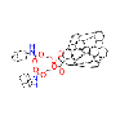 O=C(NC12CC3CC(CC(C3)C1)C2)OCCOC(=O)C1(C(=O)OCCOC(=O)NC23CC4CC(CC(C4)C2)C3)C23C=Cc4c5c6c7c4c2c2c4c8c(c9ccc%10c%11c%12c%13c(c7c2c%13c8c9%11)=C2C6C(C=C5)C5C=CC%10C%12C25)C=CC413